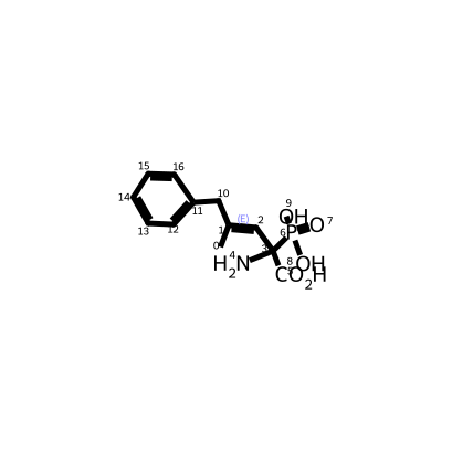 C/C(=C\C(N)(C(=O)O)P(=O)(O)O)Cc1ccccc1